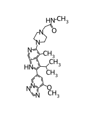 CNC(=O)CN1CCN(c2ncc3[nH]c(-c4cc(OC)c5ncnn5c4)c(C(C)C)c3c2C)CC1